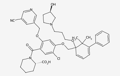 CC1(C)C(c2ccccc2)=CC=CC1(COc1cc(OCc2cncc(C#N)c2)c(C(=O)N2CCCC[C@H]2C(=O)O)cc1Cl)OCCCN1CC[C@@H](O)C1